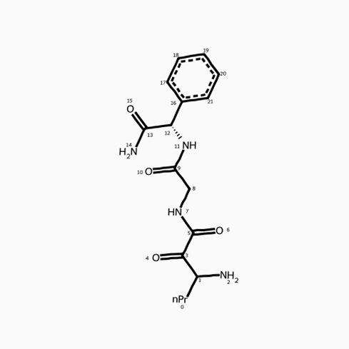 CCCC(N)C(=O)C(=O)NCC(=O)N[C@H](C(N)=O)c1ccccc1